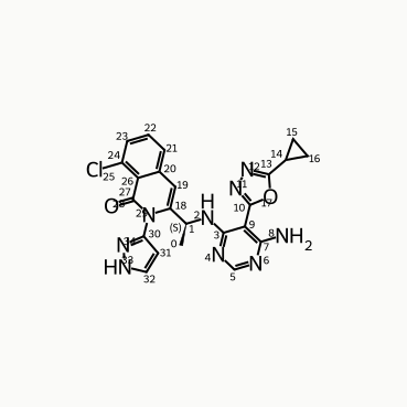 C[C@H](Nc1ncnc(N)c1-c1nnc(C2CC2)o1)c1cc2cccc(Cl)c2c(=O)n1-c1cc[nH]n1